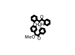 COC(C(=O)c1ccccc1)c1ccccc1.Cc1ccccc1C(O)C(=O)c1ccccc1